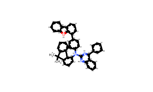 CC1(C)c2ccccc2-c2c(N(c3ccc(-c4cccc5c4oc4ccccc45)cc3)c3nc(-c4ccccc4)c4ccccc4n3)cccc21